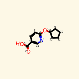 O=C(O)c1ccc(OC2CCCC2)nc1